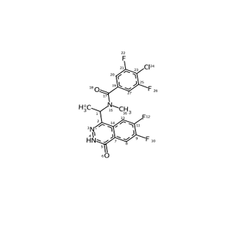 CC(c1n[nH]c(=O)c2cc(F)c(F)cc12)N(C)C(=O)c1cc(F)c(Cl)c(F)c1